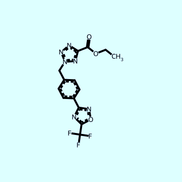 CCOC(=O)c1nnn(Cc2ccc(-c3noc(C(F)(F)F)n3)cc2)n1